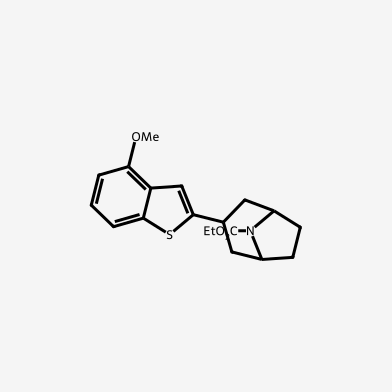 CCOC(=O)N1C2CCC1CC(c1cc3c(OC)cccc3s1)C2